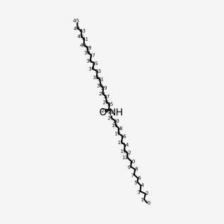 CCCCCCCCCCCCCCCCCCCCCCNC(=O)CCCCCCCCCCCCCCCCCCCCC